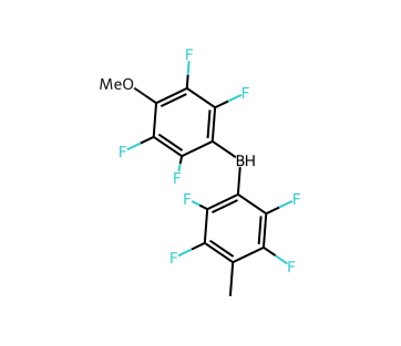 COc1c(F)c(F)c(Bc2c(F)c(F)c(C)c(F)c2F)c(F)c1F